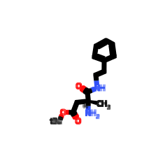 CC(C)(C)OC(=O)C[C@@](C)(N)C(=O)NCCc1ccccc1